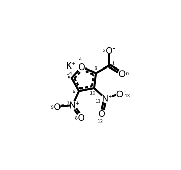 O=C([O-])c1occ([N+](=O)[O-])c1[N+](=O)[O-].[K+]